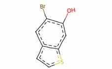 Oc1cc2sccc2cc1Br